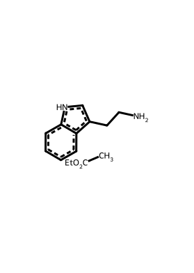 CCOC(C)=O.NCCc1c[nH]c2ccccc12